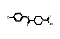 O=C(O)N1CCC(C(=S)Nc2ccc(Cl)cc2)CC1